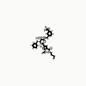 CCCCNC(=O)c1cc(C(=O)N[C@@H](Cc2ccccc2)[C@H](O)CNCc2cccc(C(F)(F)F)c2)nn1CC